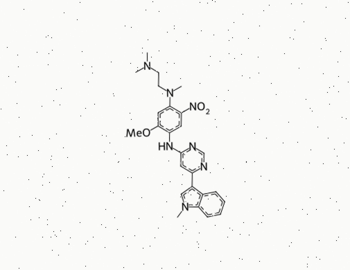 COc1cc(N(C)CCN(C)C)c([N+](=O)[O-])cc1Nc1cc(-c2cn(C)c3ccccc23)ncn1